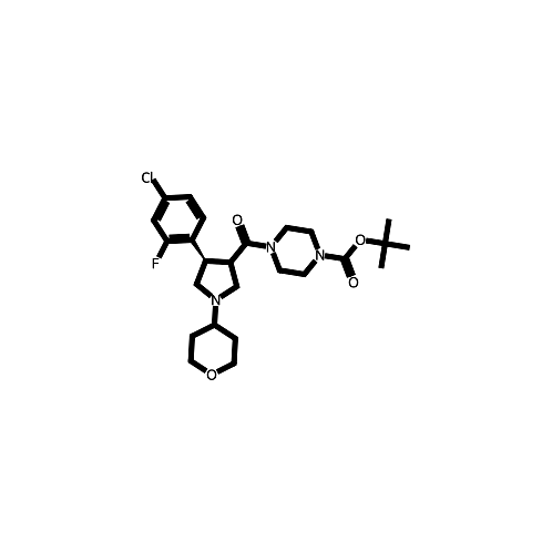 CC(C)(C)OC(=O)N1CCN(C(=O)C2CN(C3CCOCC3)C[C@H]2c2ccc(Cl)cc2F)CC1